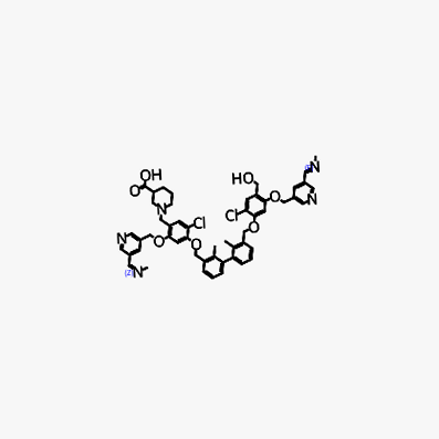 C/N=C\c1cncc(COc2cc(OCc3cccc(-c4cccc(COc5cc(OCc6cncc(/C=N/C)c6)c(CO)cc5Cl)c4C)c3C)c(Cl)cc2CN2CCCC(C(=O)O)C2)c1